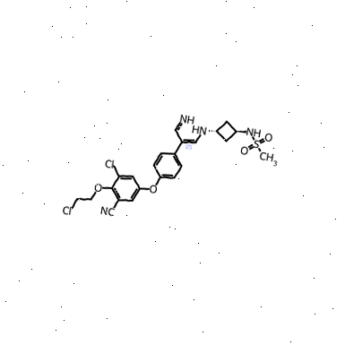 CS(=O)(=O)N[C@H]1C[C@H](N/C=C(\C=N)c2ccc(Oc3cc(Cl)c(OCCCl)c(C#N)c3)cc2)C1